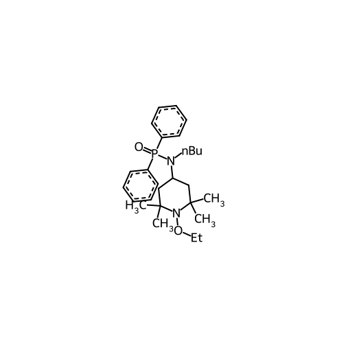 CCCCN(C1CC(C)(C)N(OCC)C(C)(C)C1)P(=O)(c1ccccc1)c1ccccc1